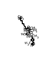 COC(=O)CCCCCCCC(=O)NC(C(=O)N1C[C@H](O)C[C@H]1C(=O)N[C@@H](C)c1ccc(-c2scnc2C)cc1)C(C)(C)C